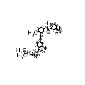 Cc1ccc(NC(=O)c2cc(C(F)(F)F)ccn2)cc1C#Cc1ccc2c(c1)ncn2-c1cnn(CCN(C)C)c1